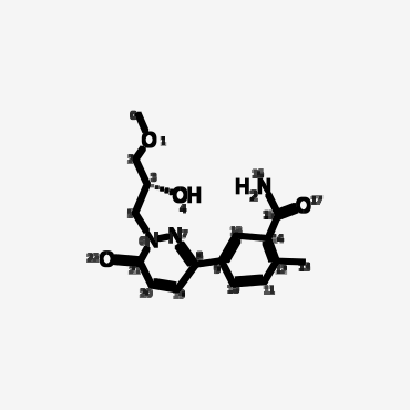 COC[C@H](O)Cn1nc(-c2ccc(C)c(C(N)=O)c2)ccc1=O